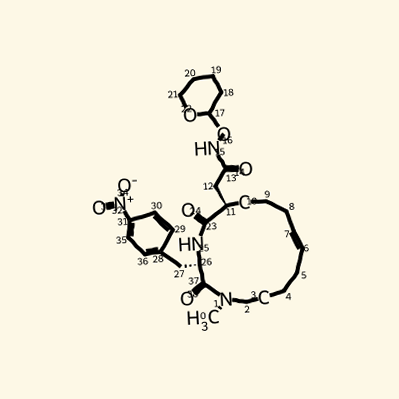 CN1CCCCC=CCCC[C@H](CC(=O)NOC2CCCCO2)C(=O)N[C@@H](Cc2ccc([N+](=O)[O-])cc2)C1=O